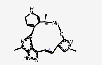 Cc1nc2cc3c(n[nH]c13)/C=C/c1cn(C)nc1CCN[C@H](C)C1=CNCC=C12